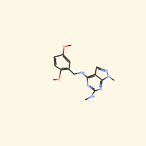 CNc1nc(NCc2cc(OC)ccc2OC)c2cnn(C)c2n1